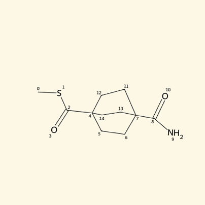 CSC(=O)C12CCC(C(N)=O)(CC1)CC2